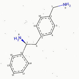 NCc1ccc(C[C@H](N)c2ccccc2)cc1